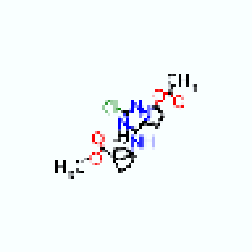 CCOC(=O)[C@H]1C2CCC(CC2)[C@@H]1Nc1nc(Cl)nn2c(OC(C)=O)ccc12